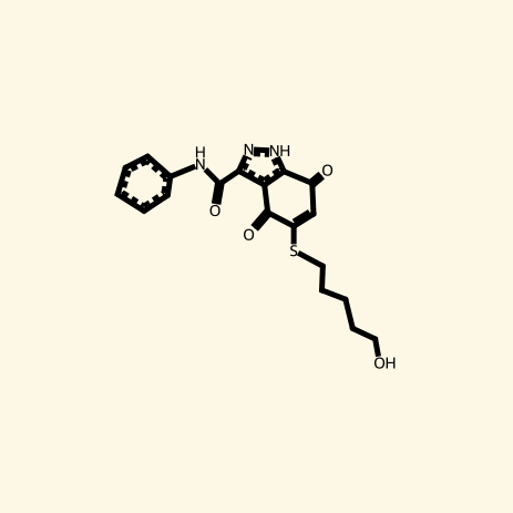 O=C(Nc1ccccc1)c1n[nH]c2c1C(=O)C(SCCCCCO)=CC2=O